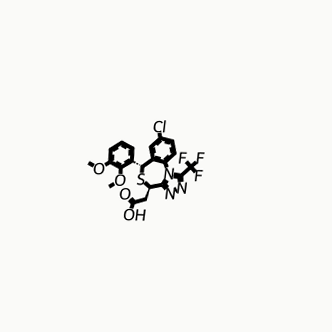 COc1cccc([C@H]2S[C@H](CC(=O)O)c3nnc(C(F)(F)F)n3-c3ccc(Cl)cc32)c1OC